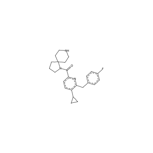 O=C(c1ccc(C2CC2)c(Cc2ccc(F)cc2)n1)N1CCCC12CCNCC2